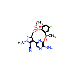 COP1(=O)OCc2nn(C)c(C#N)c2-c2cnc(N)c(n2)O[C@H](C)c2cc(F)ccc21